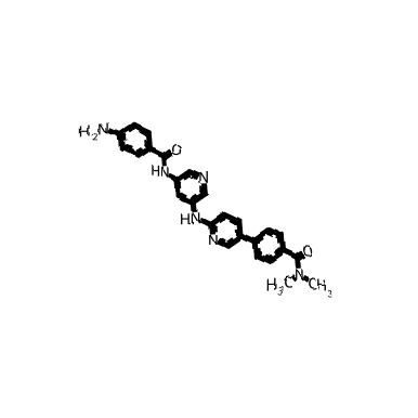 CN(C)C(=O)c1ccc(-c2ccc(Nc3cncc(NC(=O)c4ccc(N)cc4)c3)nc2)cc1